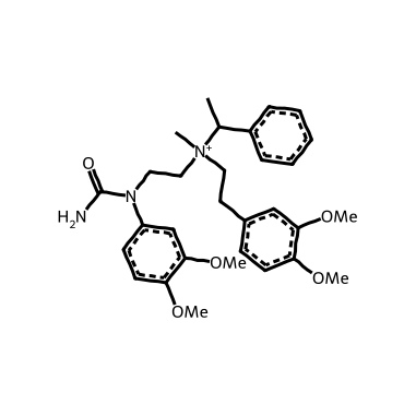 COc1ccc(CC[N+](C)(CCN(C(N)=O)c2ccc(OC)c(OC)c2)C(C)c2ccccc2)cc1OC